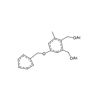 CC(=O)OCc1cc(OCc2ccccc2)cc(C)c1COC(C)=O